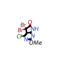 COc1nc(Cl)c2c(n1)NC(=O)C2(Br)Br